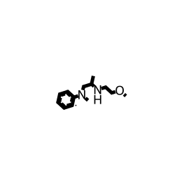 COCCNC(C)CN(C)c1[c]cccc1